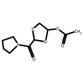 CC(=O)OC1CSC(C(=O)N2CCCC2)O1